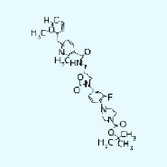 C/C=C\C(=C/c1ccc(C(=O)NC[C@H]2CN(c3ccc(N4CCN(C(=O)OC(C)(C)C)CC4)c(F)c3)C(=O)O2)c(C)n1)OC